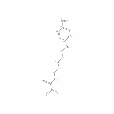 C=C(C)C(=O)OCCOCCOc1ccc(CCCCCCCCC)cc1